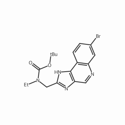 CCN(Cc1nc2cnc3cc(Br)ccc3c2[nH]1)C(=O)OC(C)(C)C